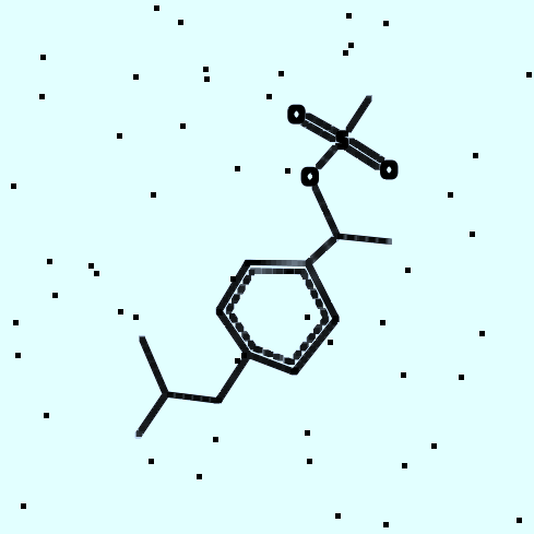 CC(C)Cc1ccc(C(C)OS(C)(=O)=O)cc1